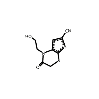 N#Cc1cc2c(s1)SCC(=O)N2CCO